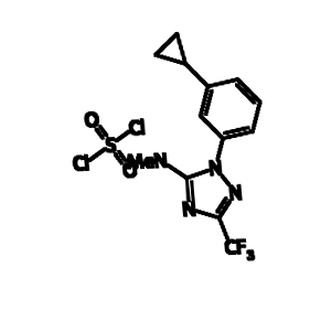 CNc1nc(C(F)(F)F)nn1-c1cccc(C2CC2)c1.O=S(=O)(Cl)Cl